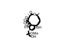 CC[C@H]1[C@@H]2C(=O)C(Cl)(Cl)C(=O)[C@H](C)C(=O)O[C@@H](C)/C=C/C=C\[C@@H](S)[C@@H]2C=C[C@@H]1C[C@](C)(CO)OC